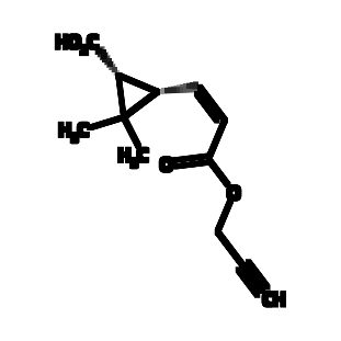 C#CCOC(=O)/C=C\[C@H]1[C@@H](C(=O)O)C1(C)C